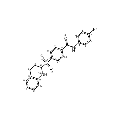 O=C(Nc1ccc(F)cn1)c1ccc(S(=O)(=O)C2CCc3ccccc3N2)cc1